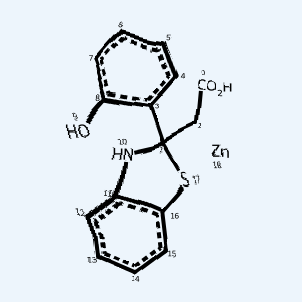 O=C(O)CC1(c2ccccc2O)Nc2ccccc2S1.[Zn]